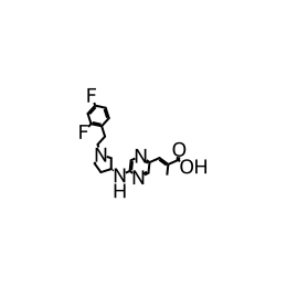 C/C(=C\c1cnc(N[C@@H]2CCN(CCc3ccc(F)cc3F)C2)cn1)C(=O)O